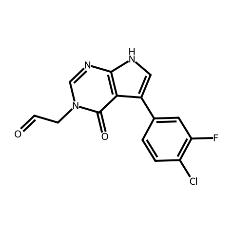 O=CCn1cnc2[nH]cc(-c3ccc(Cl)c(F)c3)c2c1=O